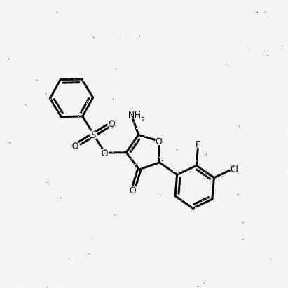 NC1=C(OS(=O)(=O)c2ccccc2)C(=O)C(c2cccc(Cl)c2F)O1